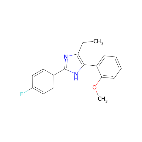 CCc1nc(-c2ccc(F)cc2)[nH]c1-c1ccccc1OC